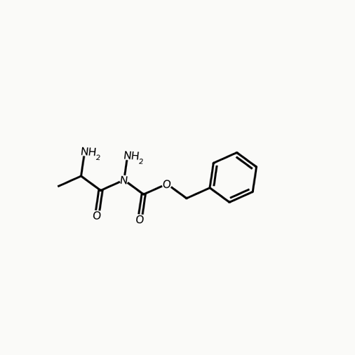 CC(N)C(=O)N(N)C(=O)OCc1ccccc1